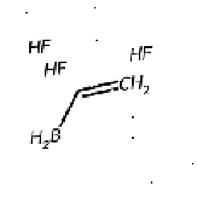 BC=C.F.F.F